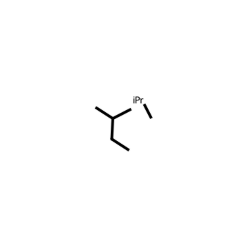 CC(C)C.CCC(C)C